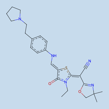 CCn1c(=C(C#N)C2=NC(C)(C)CO2)sc(=CNc2ccc(CCN3CCCC3)cc2)c1=O